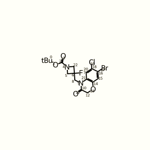 CC(C)(C)OC(=O)N1CC(F)(CN2C(=O)COc3cc(Br)c(Cl)cc32)C1